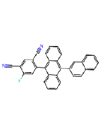 N#Cc1cc(C#N)c(-c2c3ccccc3c(-c3ccc4ccccc4c3)c3ccccc23)cc1F